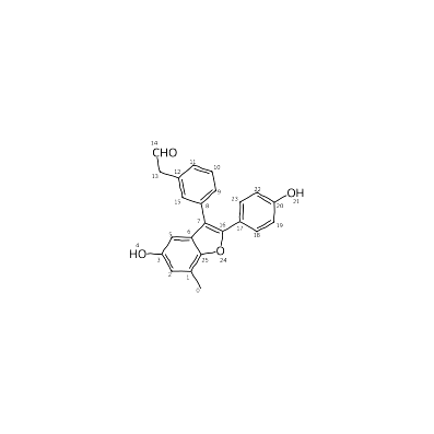 Cc1cc(O)cc2c(-c3cccc(CC=O)c3)c(-c3ccc(O)cc3)oc12